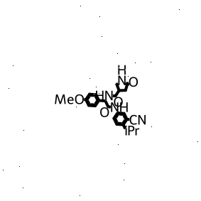 COc1ccc(C(NC(=O)C2CNC(=O)C2)C(=O)Nc2ccc(C(C)C)c(C#N)c2)cc1